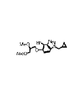 COCC(COc1ccc2c(nnn2CC2CC2)c1Br)OC